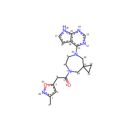 Cc1cc(CC(=O)N2CCN(c3ncnc4[nH]ccc34)CC3(CC3)C2)on1